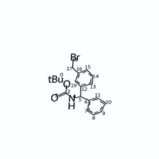 CC(C)(C)OC(=O)NC(c1ccccc1)c1cccc(CBr)c1